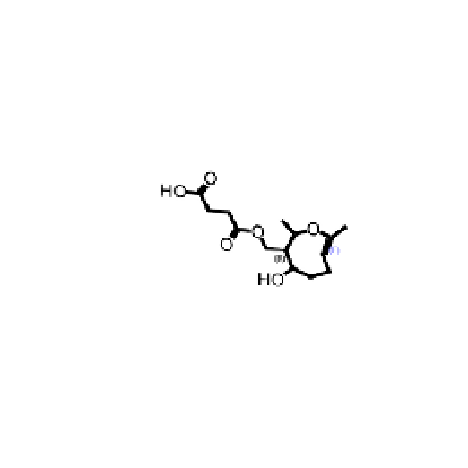 C/C1=C\CCC(O)[C@@H](COC(=O)CCC(=O)O)C(C)O1